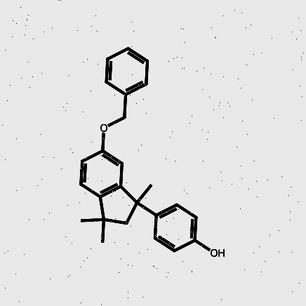 CC1(C)CC(C)(c2ccc(O)cc2)c2cc(OCc3ccccc3)ccc21